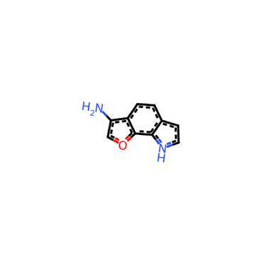 Nc1coc2c1ccc1cc[nH]c12